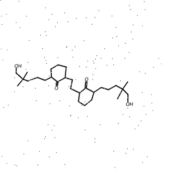 CC(C)(CO)CCCC1CCCC(CCC2CCCC(CCCC(C)(C)CO)C2=O)C1=O